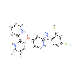 Cc1cc(Oc2ccnc(Nc3ccc(F)cc3F)c2)c(-c2ccccn2)nc1C